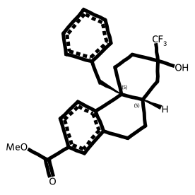 COC(=O)c1ccc2c(c1)CC[C@H]1CC(O)(C(F)(F)F)CC[C@@]21Cc1ccccc1